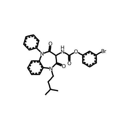 CC(C)CCN1C(=O)C(NC(=O)Oc2cccc(Br)c2)C(=O)N(c2ccccc2)c2ccccc21